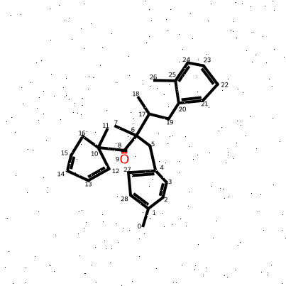 Cc1ccc(CC(C)(C(=O)C2(C)C=CC=CC2)C(C)Cc2ccccc2C)cc1